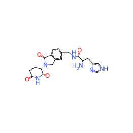 NC(Cc1c[nH]cn1)C(=O)NCc1ccc2c(c1)CN([C@H]1CCC(=O)NC1=O)C2=O